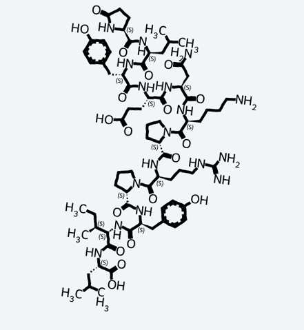 CC[C@H](C)[C@H](NC(=O)[C@H](Cc1ccc(O)cc1)NC(=O)[C@@H]1CCCN1C(=O)[C@H](CCCNC(=N)N)NC(=O)[C@@H]1CCCN1C(=O)[C@H](CCCCN)NC(=O)[C@H](CC(N)=O)NC(=O)[C@H](CCC(=O)O)NC(=O)[C@H](Cc1ccc(O)cc1)NC(=O)[C@H](CC(C)C)NC(=O)[C@@H]1CCC(=O)N1)C(=O)N[C@@H](CC(C)C)C(=O)O